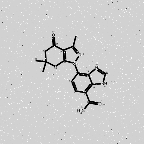 Cc1nn(-c2ccc(C(N)=O)c3[nH]cnc23)c2c1C(=O)CC(C)(C)C2